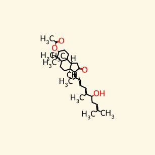 CC(=O)O[C@@H]1CC[C@@]2(C)C(CC[C@]3(C)/C(=C(C)/C=C/C=C(\C)C(O)CC=C(C)C)C(=O)C[C@@H]23)C1(C)C